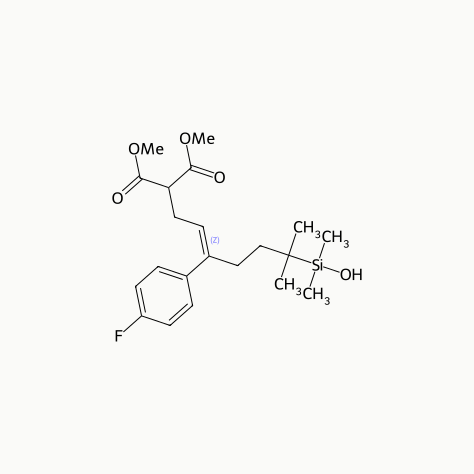 COC(=O)C(C/C=C(/CCC(C)(C)[Si](C)(C)O)c1ccc(F)cc1)C(=O)OC